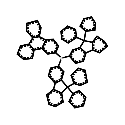 c1ccc(C2(c3ccccc3)c3ccccc3-c3ccc(N(c4ccc5c(c4)C(c4ccccc4)(c4ccccc4)c4ccccc4-5)c4ccc5c6ccccc6c6ccccc6c5c4)cc32)cc1